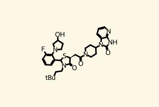 CC(C)(C)CCN1C(=O)[C@H](CC(=O)N2CCC(n3c(=O)[nH]c4ncccc43)CC2)SC1c1cccc(F)c1N1CCC(O)C1